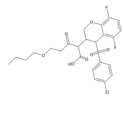 CCCCOCCC(=O)C(C(=O)O)C1COc2c(F)ccc(F)c2C1S(=O)(=O)c1ccc(Cl)cc1